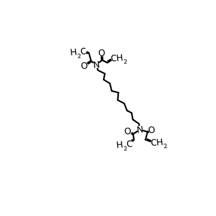 C=CC(=O)N(CCCCCCCCCCCCN(C(=O)C=C)C(=O)C=C)C(=O)C=C